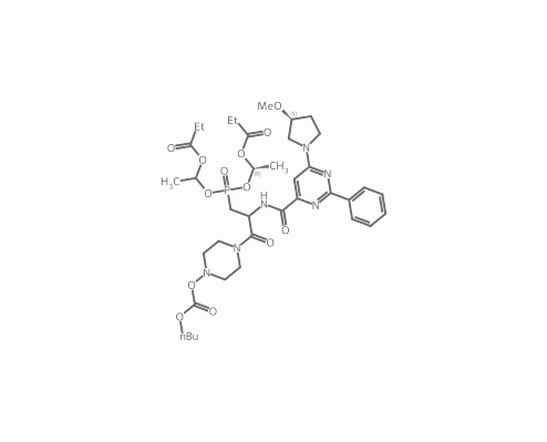 CCCCOC(=O)ON1CCN(C(=O)C(CP(=O)(OC(C)OC(=O)CC)O[C@H](C)OC(=O)CC)NC(=O)c2cc(N3CC[C@H](OC)C3)nc(-c3ccccc3)n2)CC1